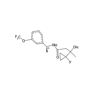 C[C@H](NC(=O)CC(C)(O)C1(F)CC1)c1cccc(OC(F)(F)F)c1